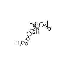 CC(=O)COc1ccc2cc(C(=O)Nc3cc(NC=O)ccc3C)sc2c1